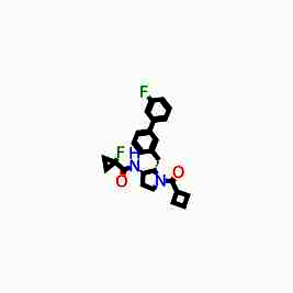 O=C(C1CCC1)N1CC[C@H](NC(=O)C2(F)CC2)[C@@H]1Cc1cccc(-c2cccc(F)c2)c1